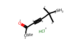 COC(=O)C#CC(C)(C)[SiH3].Cl